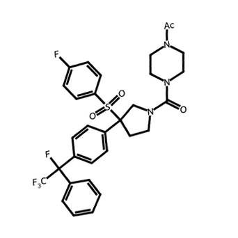 CC(=O)N1CCN(C(=O)N2CCC(c3ccc(C(F)(c4ccccc4)C(F)(F)F)cc3)(S(=O)(=O)c3ccc(F)cc3)C2)CC1